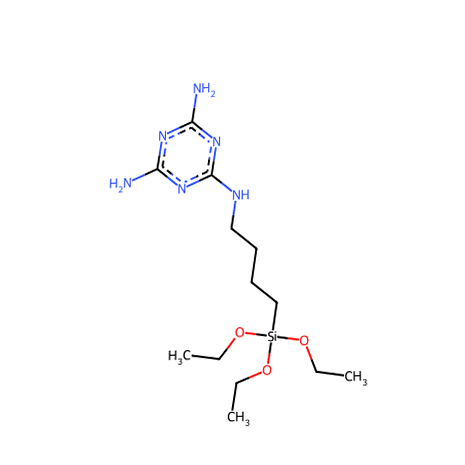 CCO[Si](CCCCNc1nc(N)nc(N)n1)(OCC)OCC